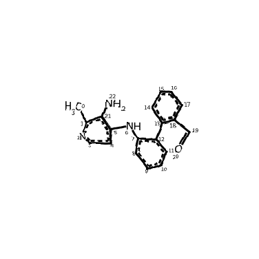 Cc1nccc(Nc2ccccc2-c2ccccc2C=O)c1N